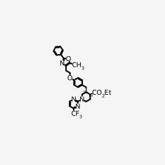 CCOC(=O)[C@H]1CCN(c2nccc(C(F)(F)F)n2)C[C@H]1Cc1ccc(OCCc2nc(-c3ccccc3)oc2C)cc1